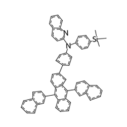 C[Si](C)(C)c1ccc(N(c2ccc(-c3ccc4c(-c5ccc6ccccc6c5)c5ccccc5c(-c5ccc6ccccc6c5)c4c3)cc2)c2ccc3ccccc3n2)cc1